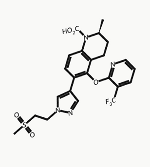 C[C@H]1CCc2c(ccc(-c3cnn(CCS(C)(=O)=O)c3)c2Oc2ncccc2C(F)(F)F)N1C(=O)O